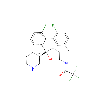 Cc1ccc(F)c(-c2c(F)cccc2C(O)(CCCNC(=O)C(F)(F)F)[C@@H]2CCCNC2)c1